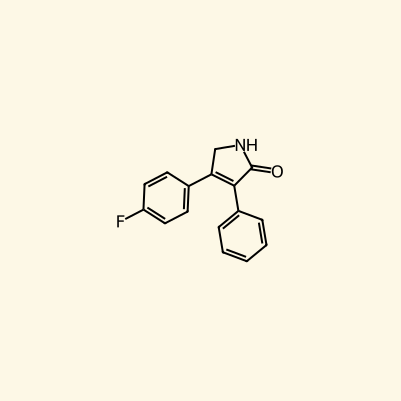 O=C1NCC(c2ccc(F)cc2)=C1c1ccccc1